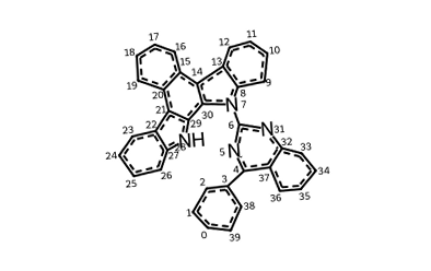 c1ccc(-c2nc(-n3c4ccccc4c4c5ccccc5c5c6ccccc6[nH]c5c43)nc3ccccc23)cc1